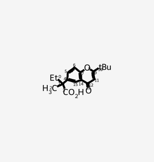 CCC(C)(C(=O)O)c1ccc2oc(C(C)(C)C)cc(=O)c2c1